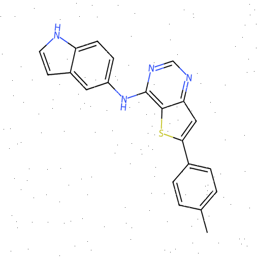 Cc1ccc(-c2cc3ncnc(Nc4ccc5[nH]ccc5c4)c3s2)cc1